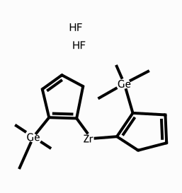 F.F.[CH3][Ge]([CH3])([CH3])[C]1=[C]([Zr][C]2=[C]([Ge]([CH3])([CH3])[CH3])C=CC2)CC=C1